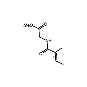 C/C=C(\C)C(=O)NCC(=O)OC